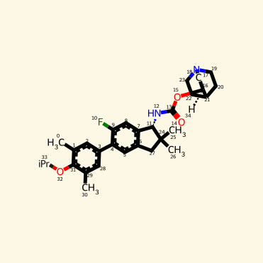 Cc1cc(-c2cc3c(cc2F)[C@H](NC(=O)O[C@H]2CN4CCC2CC4)C(C)(C)C3)cc(C)c1OC(C)C